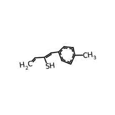 C=C/C(S)=C/c1ccc(C)cc1